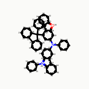 c1ccc(N(c2cc(C3(c4ccccc4)c4ccccc4-c4ccccc43)c3c(c2)oc2ccccc23)c2ccc3c(c2)c2ccccc2n3-c2ccccc2)cc1